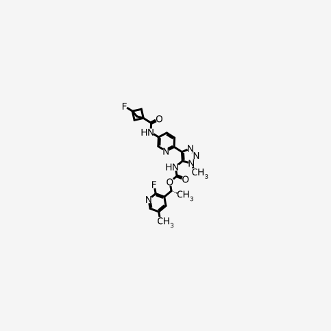 Cc1cnc(F)c([C@@H](C)OC(=O)Nc2c(-c3ccc(NC(=O)C45CC(F)(C4)C5)cn3)nnn2C)c1